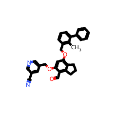 Cc1c(COc2cc(OCc3cncc(C#N)c3)c(C=O)c3c2CCC3)cccc1-c1ccccc1